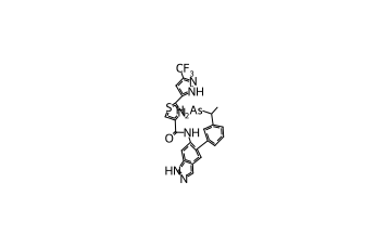 CC([AsH2])c1cccc(-c2cc3cn[nH]c3cc2NC(=O)c2csc(-c3cc(C(F)(F)F)n[nH]3)n2)c1